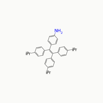 CC(C)c1ccc(C(=C(c2ccc(C(C)C)cc2)c2ccc(C(C)C)cc2)c2ccc(N)cc2)cc1